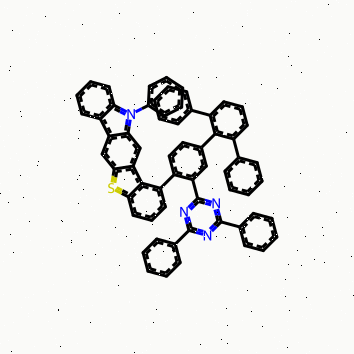 c1ccc(-c2nc(-c3ccccc3)nc(-c3cc(-c4c(-c5ccccc5)cccc4-c4ccccc4)ccc3-c3cccc4sc5cc6c7ccccc7n(-c7ccccc7)c6cc5c34)n2)cc1